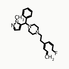 C=C/C=C(\C=C/CF)CCN1CCN(C(c2ccccc2)c2ccnn2C)CC1